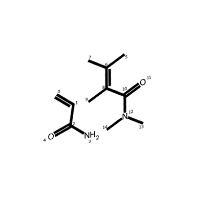 C=CC(N)=O.CC(C)=C(C)C(=O)N(C)C